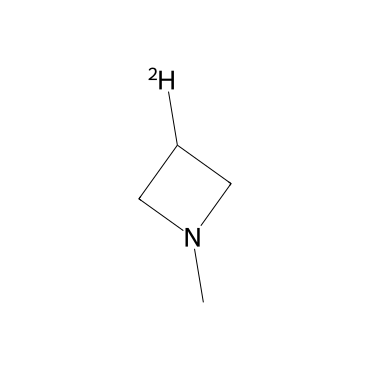 [2H]C1CN(C)C1